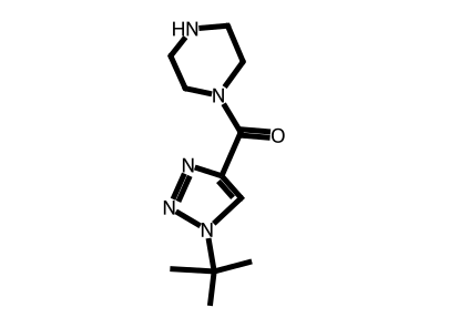 CC(C)(C)n1cc(C(=O)N2CCNCC2)nn1